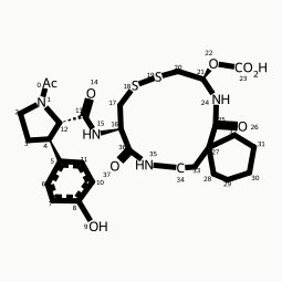 CC(=O)N1CC[C@H](c2ccc(O)cc2)[C@H]1C(=O)N[C@H]1CSSC[C@@H](OC(=O)O)NC(=O)C2(CCCCC2)CCNC1=O